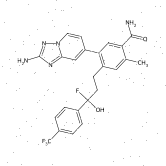 Cc1cc(CCC(O)(F)c2ccc(C(F)(F)F)cc2)c(-c2ccn3nc(N)nc3c2)cc1C(N)=O